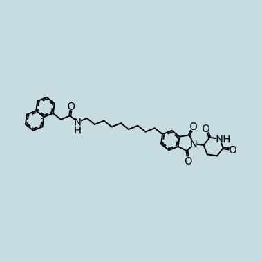 O=C(Cc1cccc2ccccc12)NCCCCCCCCCc1ccc2c(c1)C(=O)N(C1CCC(=O)NC1=O)C2=O